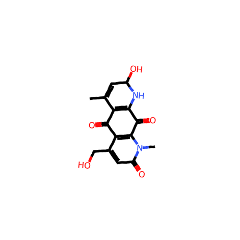 CC1=CC(O)NC2=C1C(=O)c1c(CO)cc(=O)n(C)c1C2=O